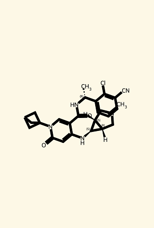 C[C@@H](NC(=O)c1cn(C23CC(C2)C3)c(=O)cc1N[C@H]1[C@@H]2CN(C)C[C@@H]21)c1cccc(C#N)c1Cl